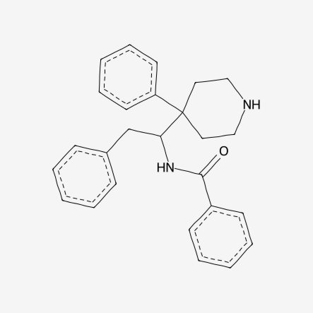 O=C(NC(Cc1ccccc1)C1(c2ccccc2)CCNCC1)c1ccccc1